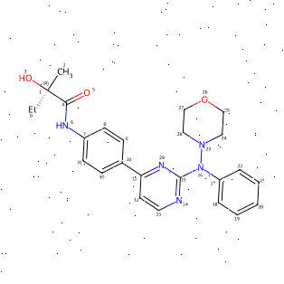 CC[C@@](C)(O)C(=O)Nc1ccc(-c2ccnc(N(c3ccccc3)N3CCOCC3)n2)cc1